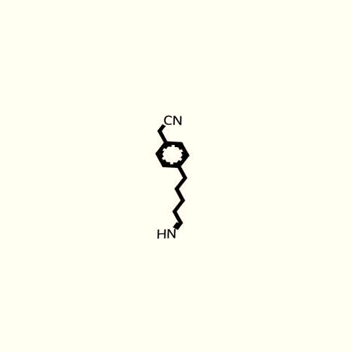 N#CCc1ccc(CCCCC=N)cc1